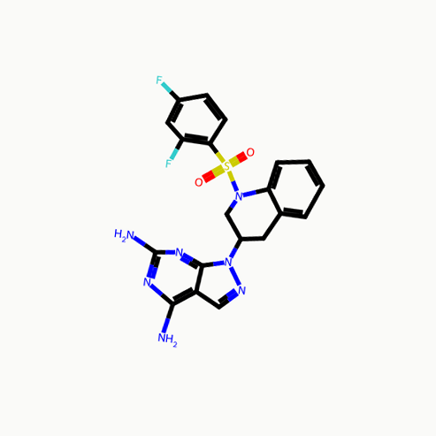 Nc1nc(N)c2cnn(C3Cc4ccccc4N(S(=O)(=O)c4ccc(F)cc4F)C3)c2n1